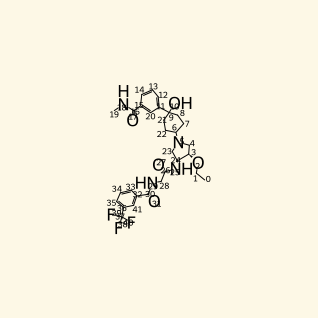 CCO[C@@H]1CN(C2CCC(O)(c3cccc(C(=O)NC)c3)CC2)C[C@@H]1NC(=O)CNC(=O)c1cccc(C(F)(F)F)c1